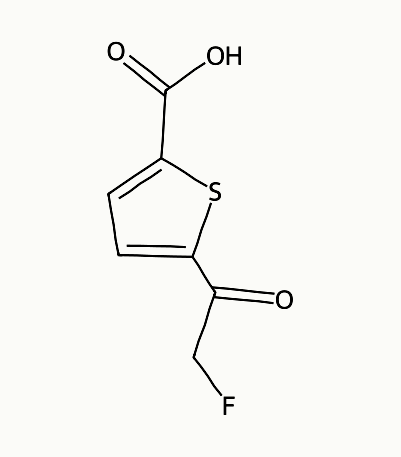 O=C(O)c1ccc(C(=O)CF)s1